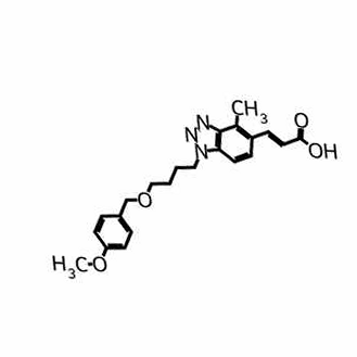 COc1ccc(COCCCCn2nnc3c(C)c(/C=C/C(=O)O)ccc32)cc1